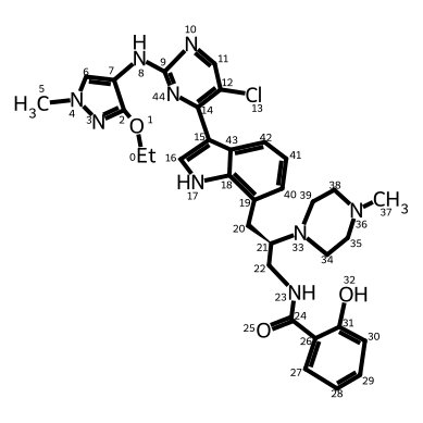 CCOc1nn(C)cc1Nc1ncc(Cl)c(-c2c[nH]c3c(C[C@H](CNC(=O)c4ccccc4O)N4CCN(C)CC4)cccc23)n1